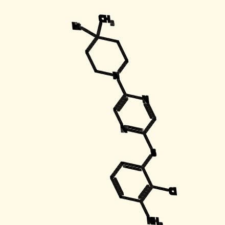 CCC1(C)CCN(c2cnc(Sc3cccc(N)c3Cl)cn2)CC1